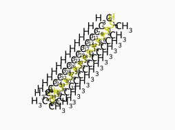 C[SH](C)S(C)(C)S(C)(C)S(C)(C)S(C)(C)S(C)(C)S(C)(C)S(C)(C)S(C)(C)S(C)(C)S(C)(C)S(C)(C)S(C)(C)[SH](C)(C)(C)C